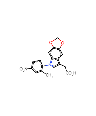 Cc1cc([N+](=O)[O-])ccc1-n1cc(CC(=O)O)c2cc3c(cc21)OCO3